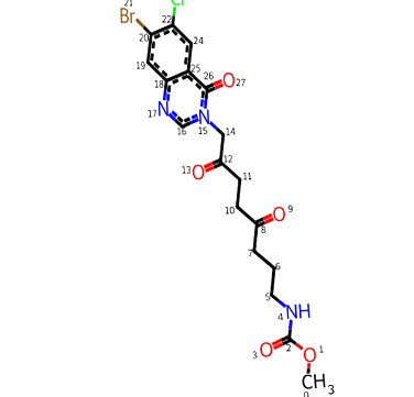 COC(=O)NCCCC(=O)CCC(=O)Cn1cnc2cc(Br)c(Cl)cc2c1=O